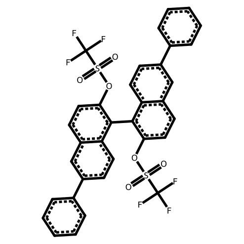 O=S(=O)(Oc1ccc2cc(-c3ccccc3)ccc2c1-c1c(OS(=O)(=O)C(F)(F)F)ccc2cc(-c3ccccc3)ccc12)C(F)(F)F